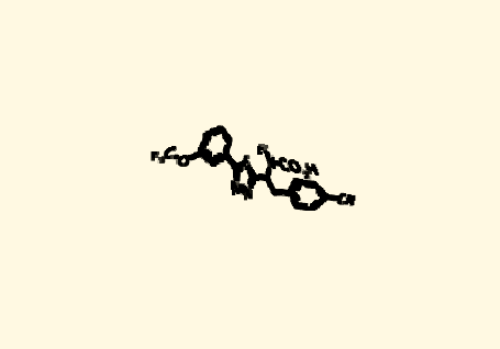 CCN(C(=O)O)C(Cc1ccc(C#N)cc1)c1nnc(-c2cccc(OC(F)(F)F)c2)s1